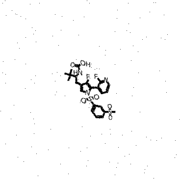 CC(C)(C)C(Cc1cn(S(=O)(=O)c2cccc(S(C)(=O)=O)c2)c(-c2cccnc2F)c1F)NC(=O)O